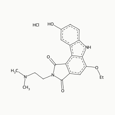 CCOc1cc2c(c3c1[nH]c1ccc(O)cc13)C(=O)N(CCN(C)C)C2=O.Cl